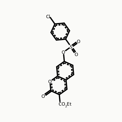 CCOC(=O)c1cc2ccc(OS(=O)(=O)c3ccc(Cl)cc3)cc2oc1=O